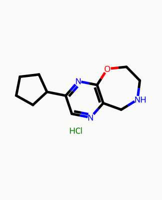 Cl.c1nc2c(nc1C1CCCC1)OCCNC2